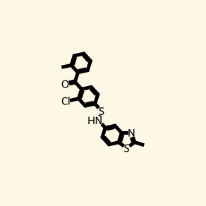 Cc1nc2cc(NSc3ccc(C(=O)c4ccccc4C)c(Cl)c3)ccc2s1